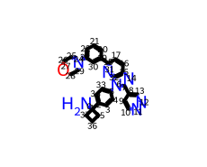 NC1(c2ccc(-n3c(-c4ccnnc4)nc4ccc(-c5cccc(N6CCOCC6)c5)nc43)cc2)CCC1